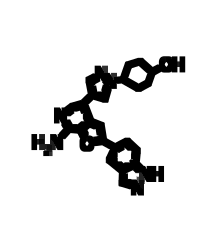 Nc1ncc(-c2cnn(C3CCC(O)CC3)c2)c2cc(-c3ccc4[nH]ncc4c3)oc12